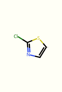 Clc1nc[c]s1